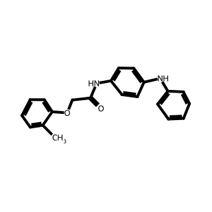 Cc1ccccc1OCC(=O)Nc1ccc(Nc2ccccc2)cc1